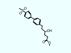 COC(=O)CC[C@H](O)CCc1ccc(-c2ccc(S(C)(=O)=O)cc2)cc1